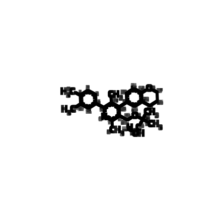 Cc1ccc(-c2nc(C)c([C@@H](CO)OC(C)(C)C)c(-c3ccc4c(c3)CCCO4)c2C)cc1C